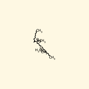 CCCCCCCCC1CC1C(CCCCOCC(COCCCCCC)N(C)C)C(=O)OC